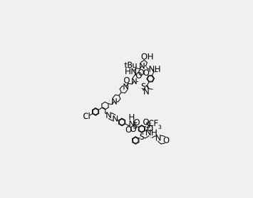 Cc1ncsc1-c1ccc([C@H](C)NC(=O)[C@@H]2C[C@@H](O)CN2C(=O)[C@@H](NC(=O)CN(C)CC(=O)N2CCC(C3CCN(C[C@]4(C)CCC(c5ccc(Cl)cc5)=C(CN5CCN(c6ccc(C(=O)NS(=O)(=O)c7ccc(N[C@H](CCN8CCCOCC8)CSc8ccccc8)c(S(=O)(=O)C(F)(F)F)c7)cc6)CC5)C4)CC3)CC2)C(C)(C)C)cc1